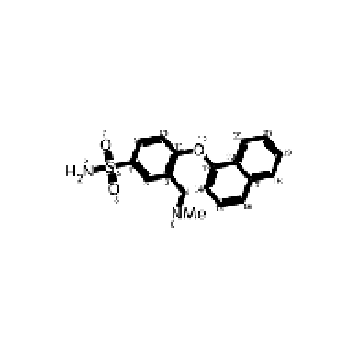 CNCc1cc(S(N)(=O)=O)ccc1Oc1cccc2ccccc12